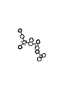 C1=CC2=C(c3nc(C4=CC=C(c5ccccc5)CC4)nc(-c4ccccc4)n3)CCC(N3C4=Cc5ccc(-n6c7c(c8c6C=CCC8)CCC=C7)cc5CC4c4ccccc43)C2C=C1